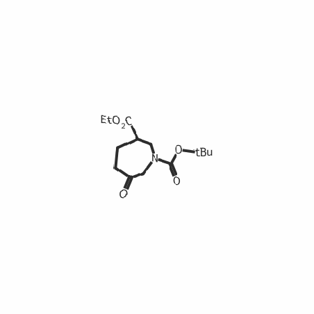 CCOC(=O)C1CCC(=O)CN(C(=O)OC(C)(C)C)C1